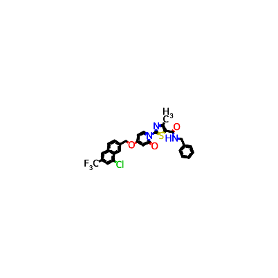 Cc1nc(-n2ccc(OCc3ccc4cc(C(F)(F)F)cc(Cl)c4c3)cc2=O)sc1C(=O)NCc1ccccc1